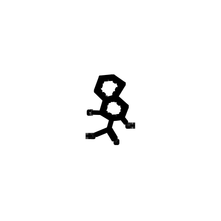 O=C(O)c1c(O)cc2ccccc2c1Cl